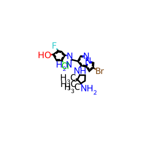 CC1(C)[C@H](Nc2c(/C(N)=N/c3cc(F)c(O)cc3Cl)cnn3cc(Br)cc23)CC[C@]1(C)N